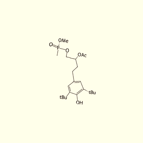 COP(C)(=O)OCC(CCc1cc(C(C)(C)C)c(O)c(C(C)(C)C)c1)OC(C)=O